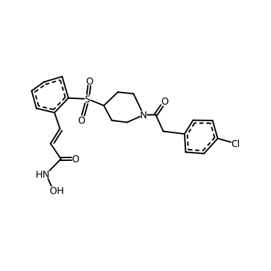 O=C(/C=C/c1ccccc1S(=O)(=O)C1CCN(C(=O)Cc2ccc(Cl)cc2)CC1)NO